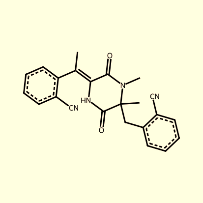 CC(=C1NC(=O)C(C)(Cc2ccccc2C#N)N(C)C1=O)c1ccccc1C#N